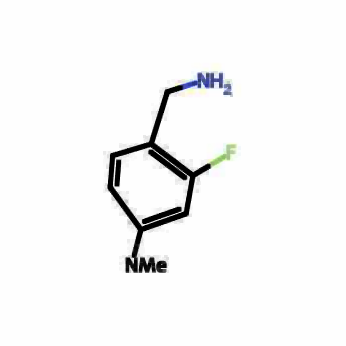 CNc1ccc(CN)c(F)c1